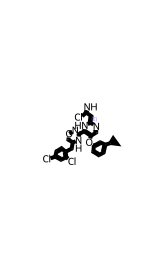 N=C(Cl)/C=C1/N=CC(Oc2cccc(C3CC3)c2)=C(C2=NOCC(Cc3ccc(Cl)cc3Cl)N2)N1